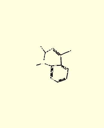 CCN1c2ccccc2C(C)=CC1C